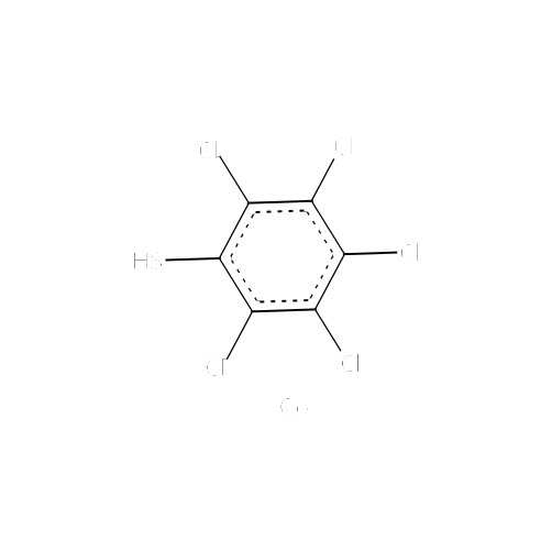 Sc1c(Cl)c(Cl)c(Cl)c(Cl)c1Cl.[Co]